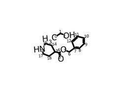 CCO.O=C(OCc1ccccc1)C1CCNCC1